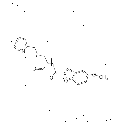 COc1ccc2oc(C(=O)NC(C=O)COCc3ccccn3)cc2c1